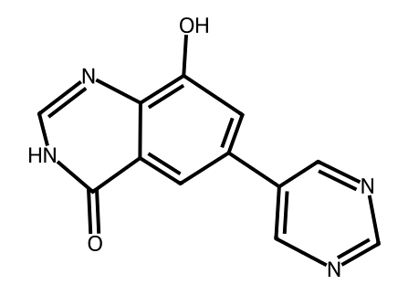 O=c1[nH]cnc2c(O)cc(-c3cncnc3)cc12